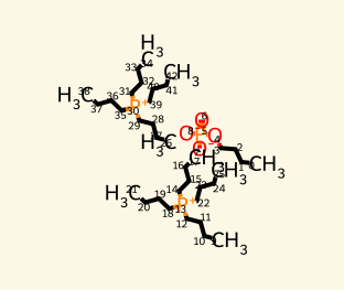 CCCCOP(=O)([O-])[O-].CCCC[P+](CCCC)(CCCC)CCCC.CCCC[P+](CCCC)(CCCC)CCCC